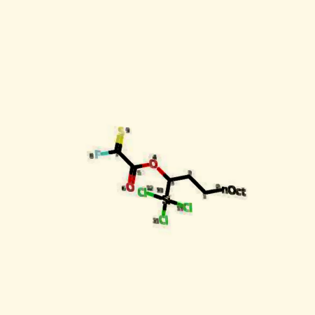 CCCCCCCCCCC(OC(=O)C(F)=S)[Si](Cl)(Cl)Cl